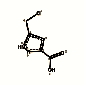 O=C(O)c1cc(CCl)[nH]n1